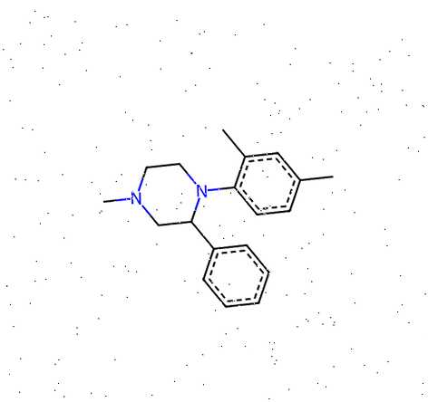 Cc1ccc(N2CCN(C)CC2c2ccccc2)c(C)c1